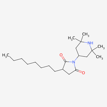 CCCCCCCCC1CC(=O)N(C2CC(C)(C)NC(C)(C)C2)C1=O